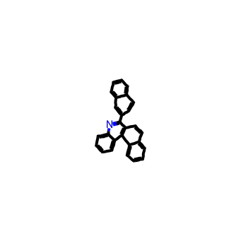 c1ccc2cc(-c3nc4ccccc4c4c3ccc3ccccc34)ccc2c1